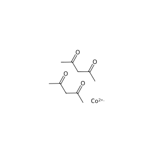 CC(=O)CC(C)=O.CC(=O)CC(C)=O.[Co+2]